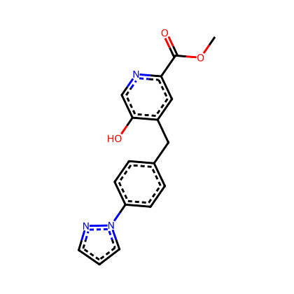 COC(=O)c1cc(Cc2ccc(-n3cccn3)cc2)c(O)cn1